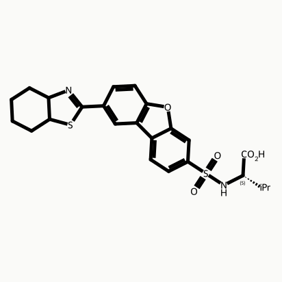 CC(C)[C@H](NS(=O)(=O)c1ccc2c(c1)oc1ccc(C3=NC4CCCCC4S3)cc12)C(=O)O